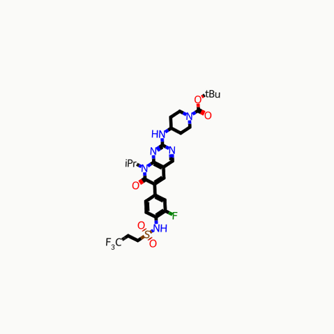 CC(C)n1c(=O)c(-c2ccc(NS(=O)(=O)CCC(F)(F)F)c(F)c2)cc2cnc(NC3CCN(C(=O)OC(C)(C)C)CC3)nc21